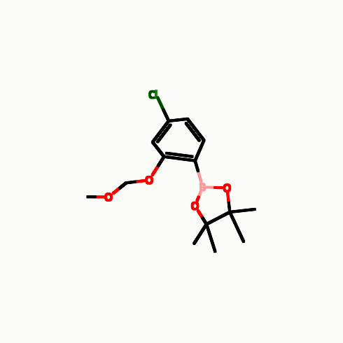 COCOc1cc(Cl)ccc1B1OC(C)(C)C(C)(C)O1